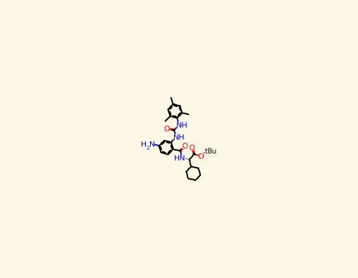 Cc1cc(C)c(NC(=O)Nc2cc(N)ccc2C(=O)N[C@H](C(=O)OC(C)(C)C)C2CCCCC2)c(C)c1